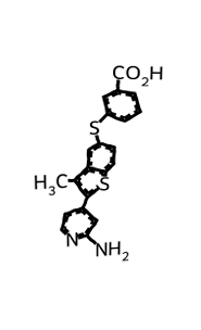 Cc1c(-c2ccnc(N)c2)sc2ccc(Sc3cccc(C(=O)O)c3)cc12